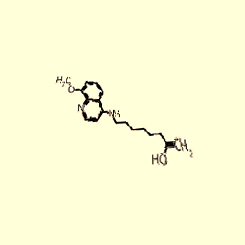 C=C(O)CCCCCCNc1ccnc2c(OC)cccc12